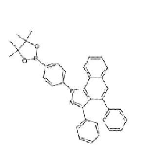 CC1(C)OB(c2ccc(-n3nc(-c4ccccc4)c4c(-c5ccccc5)cc5ccccc5c43)cc2)OC1(C)C